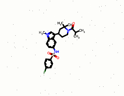 CC(C)C(=O)N1CCC(c2cn(C)c3ccc(NS(=O)(=O)c4ccc(F)cc4)cc23)CC1(C)C